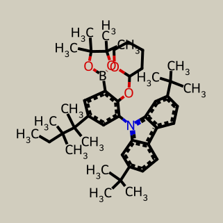 CCC(C)(C)C(C)(C)c1cc(B2OC(C)(C)C(C)(C)O2)c(OC2CCCCO2)c(-n2c3cc(C(C)(C)C)ccc3c3ccc(C(C)(C)C)cc32)c1